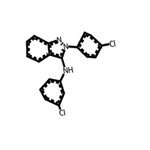 Clc1ccc(-n2nc3ccccc3c2Nc2cccc(Cl)c2)cc1